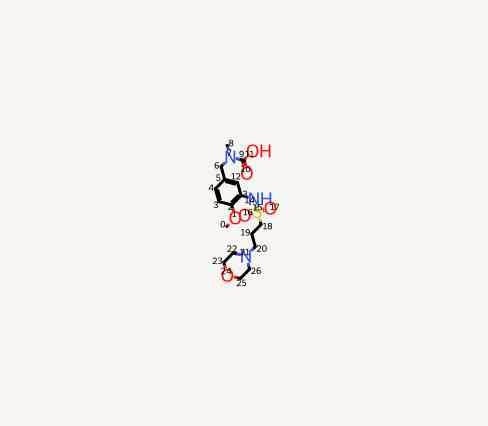 COc1ccc(CN(C)C(=O)O)cc1NS(=O)(=O)CCCN1CCOCC1